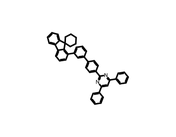 c1ccc(-c2cc(-c3ccccc3)nc(-c3ccc(-c4cccc(-c5cccc6c5C5(CCCCC5)c5ccccc5-6)c4)cc3)n2)cc1